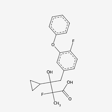 CC(F)(C(=O)O)C(O)(Cc1ccc(F)c(Oc2ccccc2)c1)C1CC1